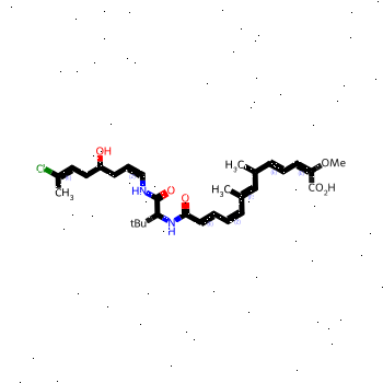 CO/C(=C/C=C/C(C)/C=C(C)/C=C\C=C\C(=O)NC(C(=O)N/C=C\CC(O)C/C=C(\C)Cl)C(C)(C)C)C(=O)O